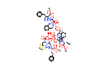 CCC[C@H](N[C@@H](C)C(=O)N1[C@H](C(=O)O)C[C@@H]2CCCC[C@@H]21)C(=O)OCC.CCOC(=O)[C@H](CCc1ccccc1)N[C@@H](C)C(=O)N1CC2(C[C@H]1C(=O)O)SCCS2.CCOC(=O)[C@H](CCc1ccccc1)N[C@@H](C)C(=O)N1Cc2ccccc2C[C@H]1C(=O)O